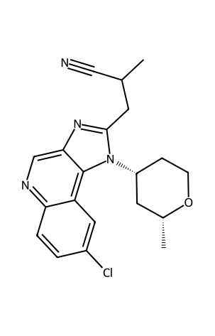 CC(C#N)Cc1nc2cnc3ccc(Cl)cc3c2n1[C@@H]1CCO[C@H](C)C1